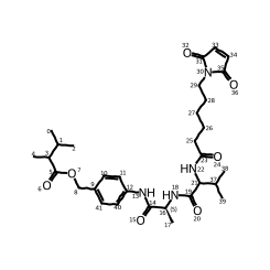 CC(C)C(C)C(=O)OCc1ccc(NC(=O)[C@H](C)NC(=O)C(NC(=O)CCCCCN2C(=O)C=CC2=O)C(C)C)cc1